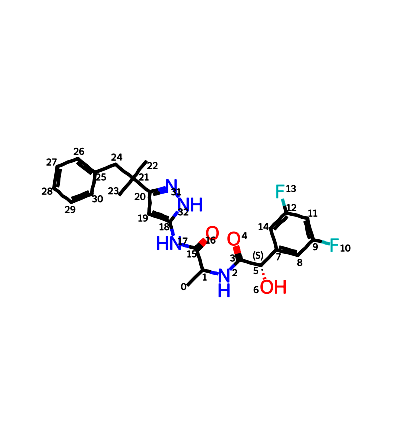 CC(NC(=O)[C@@H](O)c1cc(F)cc(F)c1)C(=O)Nc1cc(C(C)(C)Cc2ccccc2)n[nH]1